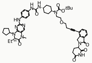 CC[C@@H]1C(=O)N(C)c2cnc(Nc3ccc(NC(=O)N[C@H]4CC[C@H](N(CCOCCC#Cc5cccc6c5CN(C5CCC(=O)NC5=O)C6=O)C(=O)OC(C)(C)C)CC4)cc3)nc2N1C1CCCC1